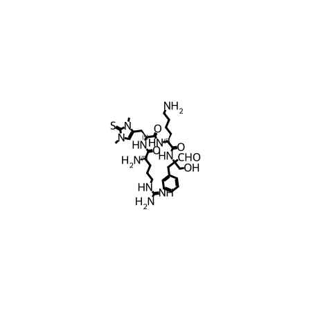 Cn1cc(C[C@H](NC(=O)[C@H](N)CCCNC(=N)N)C(=O)N[C@@H](CCCCN)C(=O)NC(C=O)(CO)Cc2ccccc2)n(C)c1=S